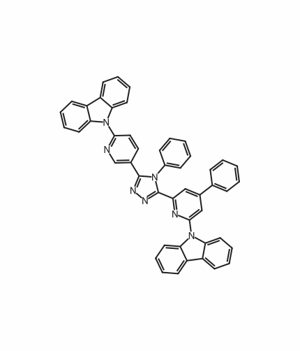 c1ccc(-c2cc(-c3nnc(-c4ccc(-n5c6ccccc6c6ccccc65)nc4)n3-c3ccccc3)nc(-n3c4ccccc4c4ccccc43)c2)cc1